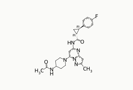 CC(=O)NC1CCN(c2cc(NC(=O)[C@@H]3C[C@H]3c3ccc(F)cc3)nc3cc(C)nn23)CC1